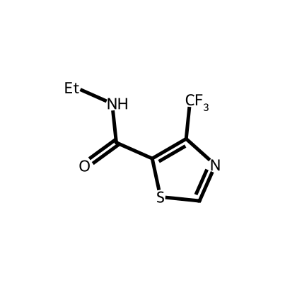 CCNC(=O)c1scnc1C(F)(F)F